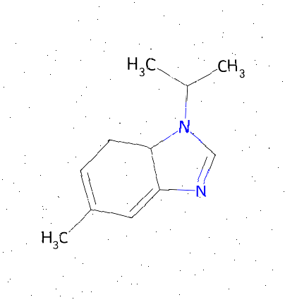 CC1=CCC2C(=C1)N=CN2C(C)C